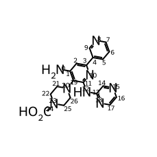 Nc1cc(-c2cccnc2)nc(Nc2cnccn2)c1N1CCN(C(=O)O)CC1